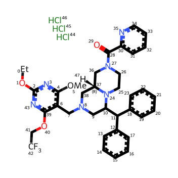 CCOc1nc(OC)c(CN2CC(C(c3ccccc3)c3ccccc3)N3CCN(C(=O)c4ccccn4)C[C@H]3C2)c(OCC(F)(F)F)n1.Cl.Cl.Cl